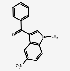 Cn1cc(C(=O)c2ccccc2)c2cc([N+](=O)[O-])ccc21